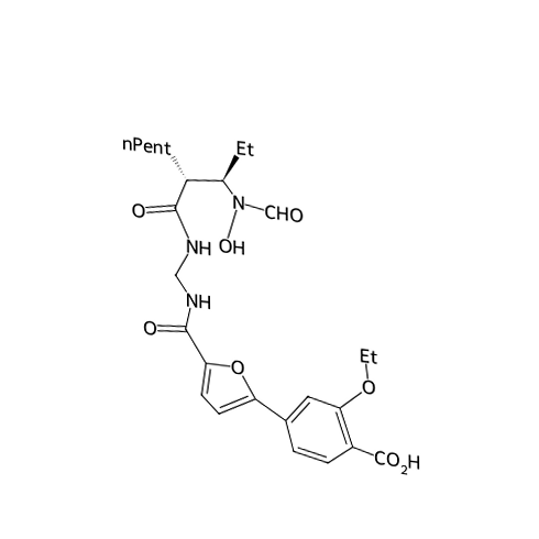 CCCCC[C@@H](C(=O)NCNC(=O)c1ccc(-c2ccc(C(=O)O)c(OCC)c2)o1)[C@@H](CC)N(O)C=O